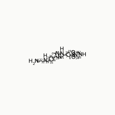 C=C1N=C2NC(c3ccc(S(=O)(=O)N4CCNCC4)cc3)=CN2C=C1c1ccc(CNCCCN)cc1